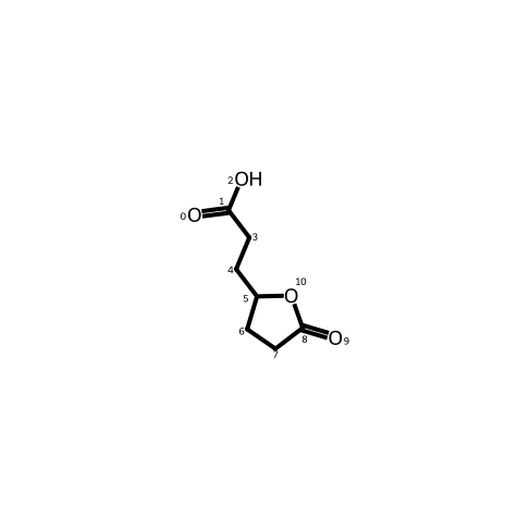 O=C(O)CCC1CCC(=O)O1